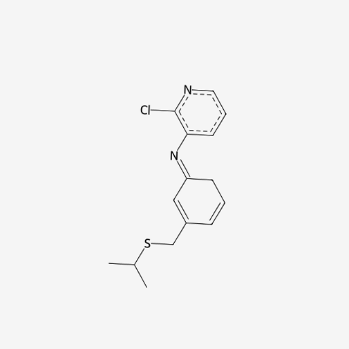 CC(C)SCC1=CC(=Nc2cccnc2Cl)CC=C1